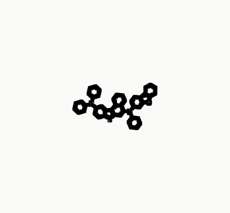 c1ccc(N(c2ccccc2)c2ccc3sc4cc(N(c5ccccc5)c5ccc6c(c5)oc5ccccc56)c5ccccc5c4c3c2)cc1